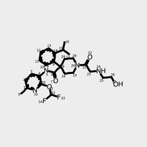 Cc1ccc(NC(=O)C2(c3ccccc3C(C)C)CCN(C(=O)CNCCO)CC2)c(OC(F)F)n1